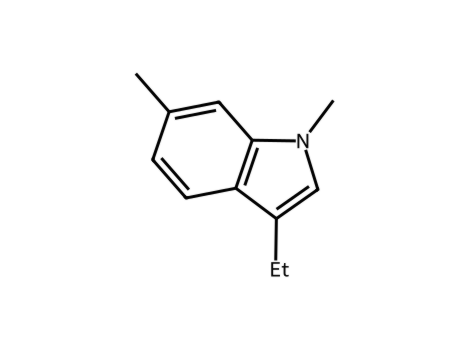 CCc1cn(C)c2cc(C)ccc12